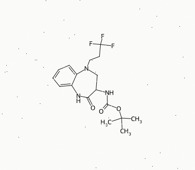 CC(C)(C)OC(=O)NC1CN(CCC(F)(F)F)c2ccccc2NC1=O